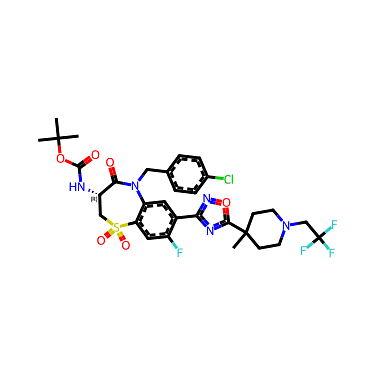 CC(C)(C)OC(=O)N[C@H]1CS(=O)(=O)c2cc(F)c(-c3noc(C4(C)CCN(CC(F)(F)F)CC4)n3)cc2N(Cc2ccc(Cl)cc2)C1=O